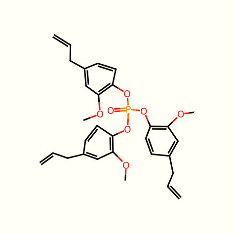 C=CCc1ccc(OP(=O)(Oc2ccc(CC=C)cc2OC)Oc2ccc(CC=C)cc2OC)c(OC)c1